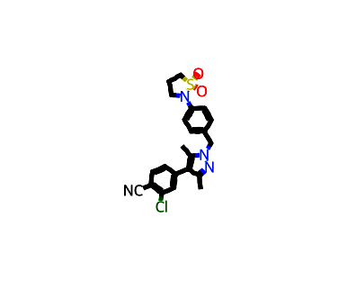 Cc1nn(Cc2ccc(N3CCCS3(=O)=O)cc2)c(C)c1-c1ccc(C#N)c(Cl)c1